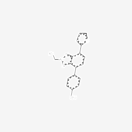 CC(C)Cn1nc2c(-c3ccc(C(C)(C)C)cc3)ccc(-c3cccs3)c2n1